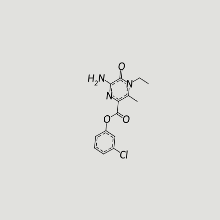 CCn1c(C)c(C(=O)Oc2cccc(Cl)c2)nc(N)c1=O